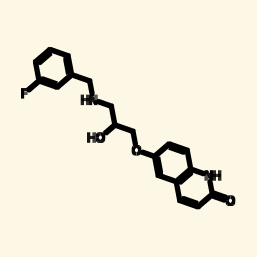 O=c1ccc2cc(OCC(O)CNCc3cccc(F)c3)ccc2[nH]1